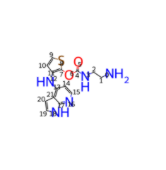 NCCNC(=O)Oc1sccc1Nc1ccnc2[nH]ccc12